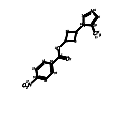 O=C(OC1CC(n2cncc2C(F)(F)F)C1)c1ccc([N+](=O)[O-])cc1